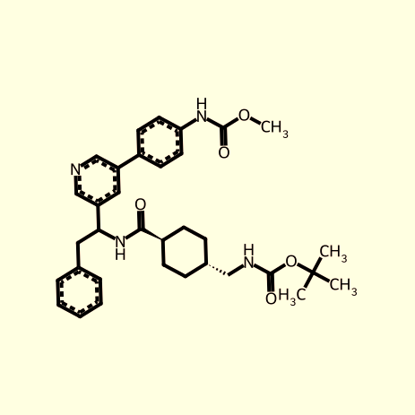 COC(=O)Nc1ccc(-c2cncc(C(Cc3ccccc3)NC(=O)[C@H]3CC[C@H](CNC(=O)OC(C)(C)C)CC3)c2)cc1